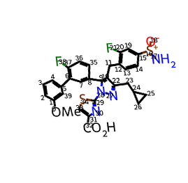 COc1cccc(-c2cc(-c3c(Cc4ccc([S+](N)[O-])cc4F)c(CC4CC4)nn3-c3nc(C(=O)O)cs3)ccc2F)c1